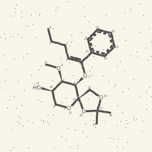 CCC/C=C(/O[C@@H]1[C@H](OC)[C@H](O)CO[C@]12COC(C)(C)O2)c1ccccc1